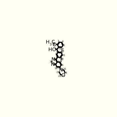 COc1ccccc1C(O)c1cc(-c2ncnc3cc(N4CCOCC4)ccc23)c(F)cc1F